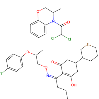 CC1COc2ccccc2N1C(=O)C(Cl)Cl.CCCC(=NOCC(C)Oc1ccc(Cl)cc1)C1=C(O)CC(C2CCCSC2)CC1=O